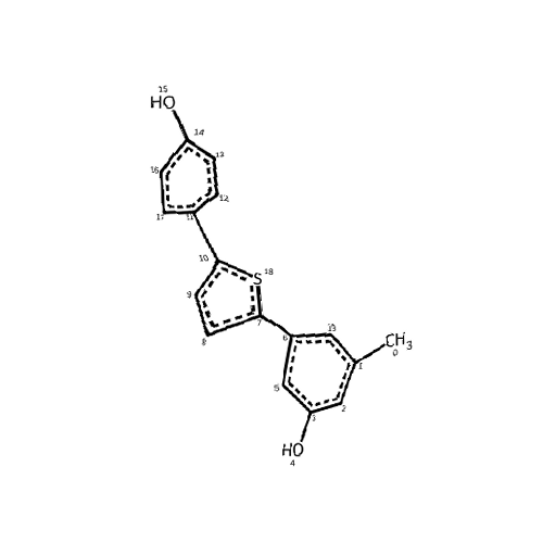 Cc1cc(O)cc(-c2ccc(-c3ccc(O)cc3)s2)c1